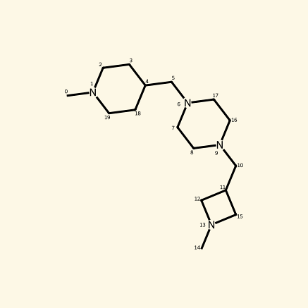 CN1CCC(CN2CCN(CC3CN(C)C3)CC2)CC1